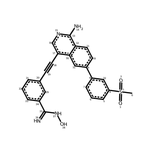 CS(=O)(=O)c1cccc(-c2ccc3c(N)ncc(C#Cc4cccc(C(=N)NO)c4)c3c2)c1